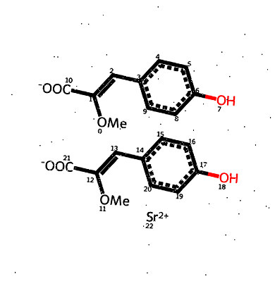 CO/C(=C\c1ccc(O)cc1)C(=O)[O-].CO/C(=C\c1ccc(O)cc1)C(=O)[O-].[Sr+2]